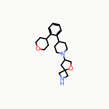 c1ccc(C2CCN(C3COC4(CNC4)C3)CC2)c(C2CCOCC2)c1